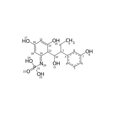 CCC(c1cccc(O)c1)C(O)C1C(O)=CC(O)=CC1=NP(=O)(O)O